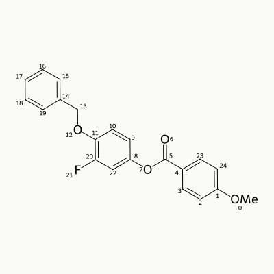 COc1ccc(C(=O)Oc2ccc(OCc3ccccc3)c(F)c2)cc1